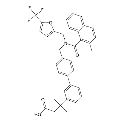 Cc1ccc2ccccc2c1C(=O)N(Cc1ccc(-c2cccc(C(C)(C)CC(=O)O)c2)cc1)Cc1ccc(C(F)(F)F)o1